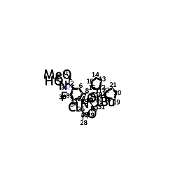 COC/C(=N\O)c1cc(CO[Si](c2ccccc2)(c2ccccc2)C(C)(C)C)c(N2C[C@@H](C)O[C@@H](C)C2)c(Cl)c1F